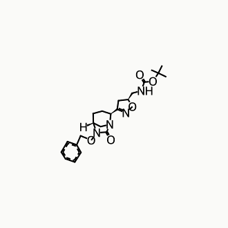 CC(C)(C)OC(=O)NC[C@@H]1CC([C@@H]2CC[C@@H]3CN2C(=O)N3OCc2ccccc2)=NO1